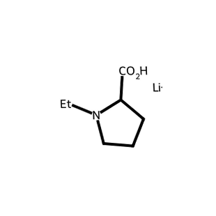 CCN1CCCC1C(=O)O.[Li]